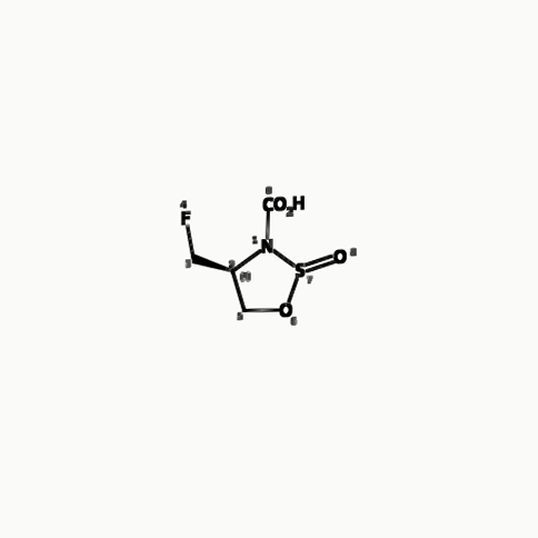 O=C(O)N1[C@H](CF)COS1=O